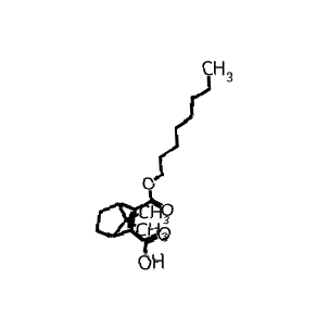 CCCCCCCCOC(=O)C1=C(C(=O)O)C2CCC1C2(C)C